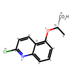 C[C@H](Oc1cccc2nc(Cl)ccc12)C(=O)O